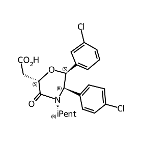 CCC[C@@H](C)N1C(=O)[C@H](CC(=O)O)O[C@@H](c2cccc(Cl)c2)[C@H]1c1ccc(Cl)cc1